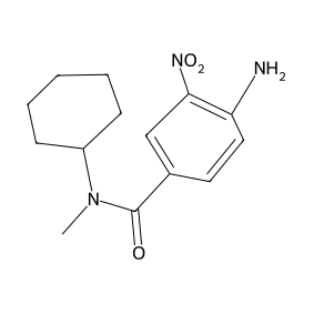 CN(C(=O)c1ccc(N)c([N+](=O)[O-])c1)C1CCCCC1